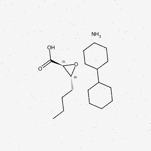 C1CCC(C2CCCCC2)CC1.CCCC[C@H]1O[C@@H]1C(=O)O.N